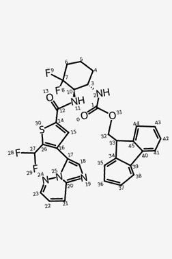 O=C(N[C@H]1CCCC(F)(F)[C@@H]1NC(=O)c1cc(-c2cnc3cccnn23)c(C(F)F)s1)OCC1c2ccccc2-c2ccccc21